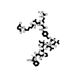 CC[C@@H](C)[C@H]([C@H](CC(=O)N1CCC[C@@H]1[C@@H](OC)[C@H](C)C(=O)N[C@@H](C)[C@H](O)c1ccccc1)OC)N(C)C(=O)[C@H](NC(=O)[C@@H](C(C)C)N(C)C(=O)OCc1ccc(NC(=O)[C@@H](CCCNC(N)=O)NC(=O)[C@H](NC(=O)CCCC(=O)ON2C(=O)CCC2=O)C(C)C)cc1)C(C)C